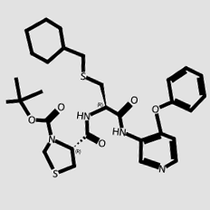 CC(C)(C)OC(=O)N1CSC[C@H]1C(=O)N[C@@H](CSCC1CCCCC1)C(=O)Nc1cnccc1Oc1ccccc1